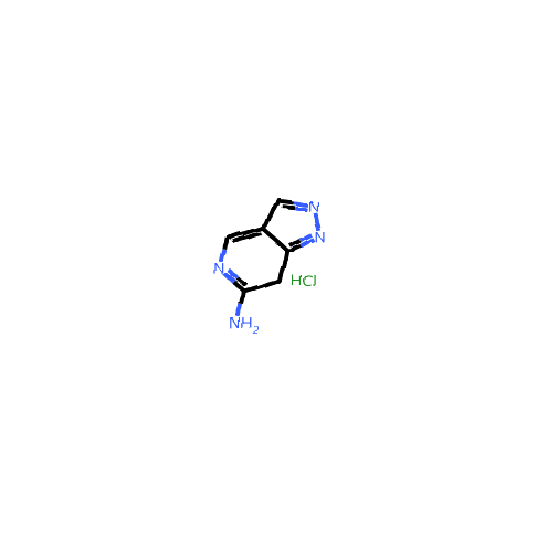 Cl.NC1=NC=C2C=NN=C2C1